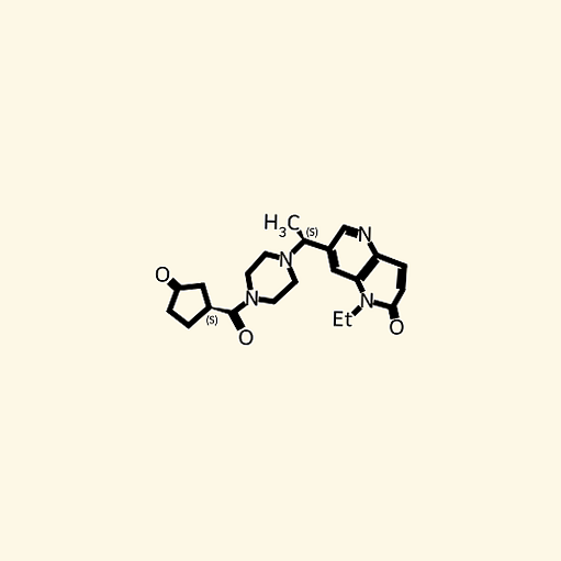 CCn1c(=O)ccc2ncc([C@H](C)N3CCN(C(=O)[C@H]4CCC(=O)C4)CC3)cc21